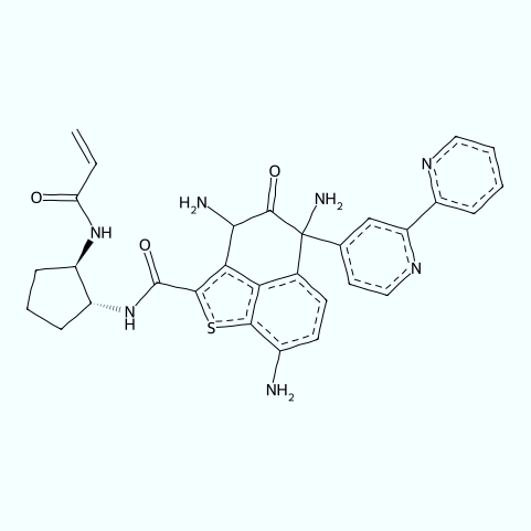 C=CC(=O)N[C@@H]1CCC[C@H]1NC(=O)c1sc2c(N)ccc3c2c1C(N)C(=O)C3(N)c1ccnc(-c2ccccn2)c1